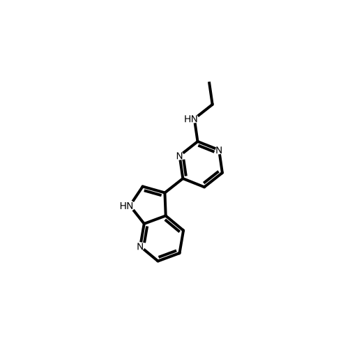 CCNc1nccc(-c2c[nH]c3ncccc23)n1